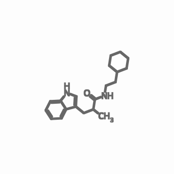 CC(Cc1c[nH]c2ccccc12)C(=O)NCCC1CCCCC1